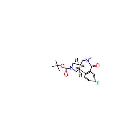 CN1C[C@@H]2CN(C(=O)OC(C)(C)C)C[C@H]2c2ccc(F)cc2C1=O